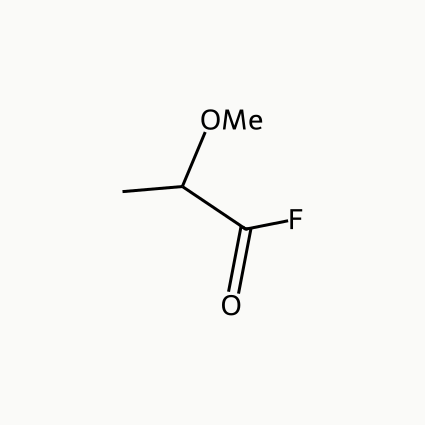 COC(C)C(=O)F